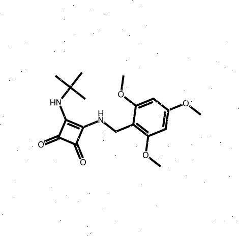 COc1cc(OC)c(CNc2c(NC(C)(C)C)c(=O)c2=O)c(OC)c1